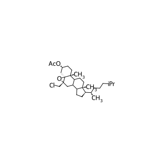 CC(=O)O[C@H]1CC[C@]2(C)C3CC[C@@]4(C)C(CC[C@@H]4[C@H](C)CCCC(C)C)C3C[C@]3(CCl)O[C@]32C1